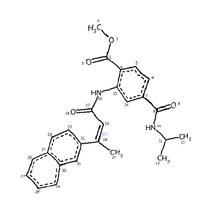 COC(=O)c1ccc(C(=O)NC(C)C)cc1NC(=O)/C=C(/C)c1ccc2ccccc2c1